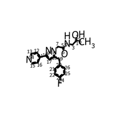 C[C@H](O)CNC(=O)Cn1nc(-c2ccncc2)cc1Cc1ccc(F)cc1